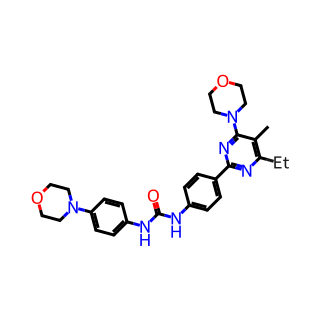 CCc1nc(-c2ccc(NC(=O)Nc3ccc(N4CCOCC4)cc3)cc2)nc(N2CCOCC2)c1C